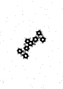 c1ccc2c(c1)Sc1ccccc1N2c1ccc2c(c1)Sc1cccc3c1c-2cc1sc2cc(N4c5ccccc5Sc5ccccc54)ccc2c13